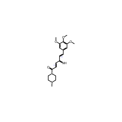 COc1cc(/C=C/C(=N)/C=C/C(=O)N2CCN(C)CC2)cc(OC)c1OC